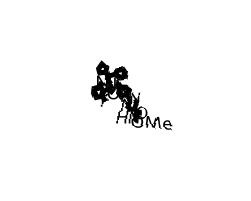 CONC(=O)c1cnc(N2CCC(Cn3c(C(c4ccccc4)C4CCCC4)nc4cccc(F)c4c3=O)CC2)nc1